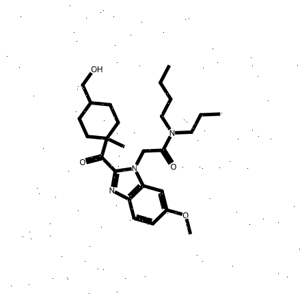 CCCCN(CCC)C(=O)Cn1c(C(=O)C2(C)CCC(CO)CC2)nc2ccc(OC)cc21